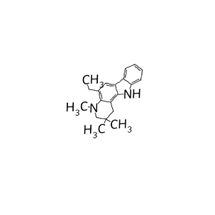 CCc1cc2c([nH]c3ccccc32)c2c1N(C)CC(C)(C)C2